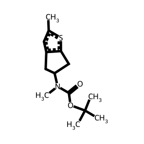 Cc1cc2c(s1)CC(N(C)C(=O)OC(C)(C)C)C2